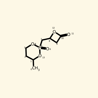 CC1CCOP(=O)(CC2CC(=O)O2)O1